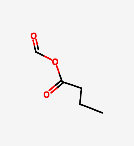 CCCC(=O)OC=O